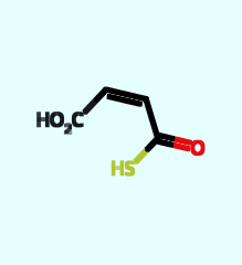 O=C(O)/C=C\C(=O)S